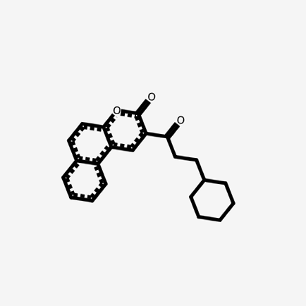 O=C(CCC1CCCCC1)c1cc2c(ccc3ccccc32)oc1=O